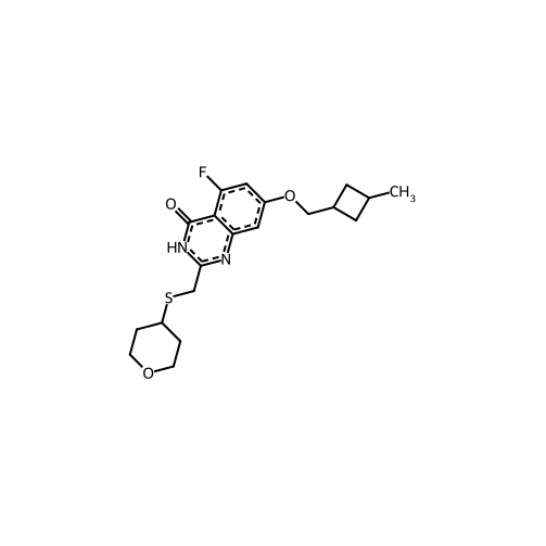 CC1CC(COc2cc(F)c3c(=O)[nH]c(CSC4CCOCC4)nc3c2)C1